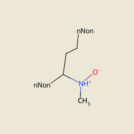 CCCCCCCCCCCC(CCCCCCCCC)[NH+](C)[O-]